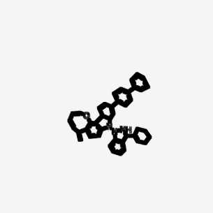 C=C1/C=C\C=C/Oc2c1ccc1c2C2C=CC(c3ccc(-c4ccccc4)cc3)=CC2N1N1NC(C2=CCCCC2)c2ccccc21